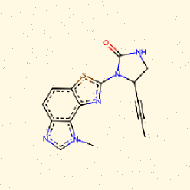 CC#CC1CNC(=O)N1c1nc2c(ccc3ncn(C)c32)s1